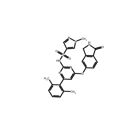 Cc1cccc(C)c1-c1cc(Oc2ccc3c(c2)CNC3=O)nc(NS(=O)(=O)c2cnn(C)c2)n1